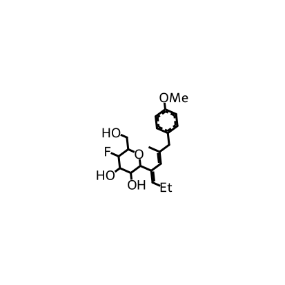 CC/C=C(\C=C(/C)Cc1ccc(OC)cc1)C1OC(CO)C(F)C(O)C1O